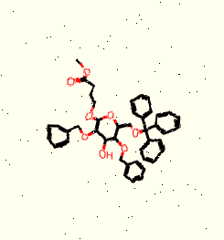 COC(=O)CCCOC1OC(COC(c2ccccc2)(c2ccccc2)c2ccccc2)C(OCc2ccccc2)C(O)C1OCc1ccccc1